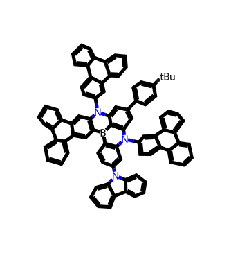 CC(C)(C)c1ccc(-c2cc3c4c(c2)N(c2ccc5c6ccccc6c6ccccc6c5c2)c2cc5c6ccccc6c6ccccc6c5cc2B4c2ccc(-n4c5ccccc5c5ccccc54)cc2N3c2ccc3c4ccccc4c4ccccc4c3c2)cc1